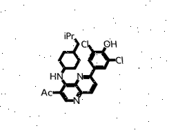 CC(=O)c1cnc2ccc(-c3cc(Cl)c(O)c(Cl)c3)nc2c1NC1CCC(CC(C)C)CC1